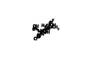 CCC[C@H](NC(=O)c1ccc2nc(-c3ccc(Cl)cc3)c(CCCCC(=O)O)nc2c1)/C(C)=C(O)/C=C\CF